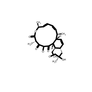 CC[C@H]1[C@@H]2C(=O)C(Cl)C(=O)[C@H](C)C(=O)O[C@@H](C)/C=C/C=C\[C@@H](C)[C@@H]2C=C[C@@H]1C[C@@](C)(O)CCl